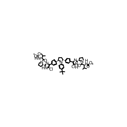 COC(=O)N[C@H](C(=O)N1CCC[C@H]1c1nc(-c2ccc([C@H]3CC[C@H](c4ccc(-c5nc([C@@H]6CCCN6C(=O)[C@@H](NC(=O)OC)C(C)C)[nH]c5Cl)cc4)N3c3ccc(C(C)(C)C)cc3)cc2)c(Cl)[nH]1)C(C)C